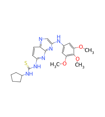 COc1cc(Nc2cnc3ccc(NC(=S)NC4CCCC4)nc3n2)cc(OC)c1OC